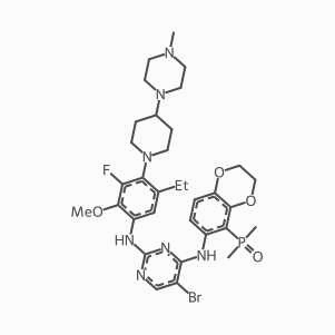 CCc1cc(Nc2ncc(Br)c(Nc3ccc4c(c3P(C)(C)=O)OCCO4)n2)c(OC)c(F)c1N1CCC(N2CCN(C)CC2)CC1